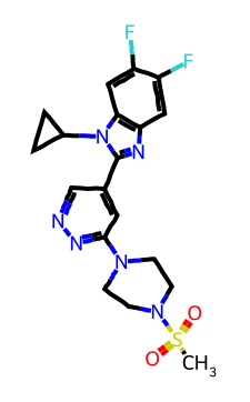 CS(=O)(=O)N1CCN(c2cc(-c3nc4cc(F)c(F)cc4n3C3CC3)cnn2)CC1